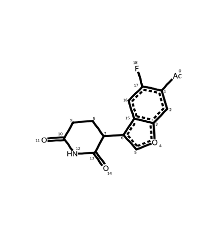 CC(=O)c1cc2occ(C3CCC(=O)NC3=O)c2cc1F